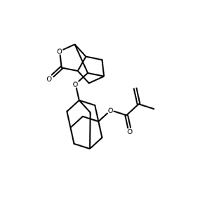 C=C(C)C(=O)OC12CC3CC(C1)CC(OC1C4CC5C(=O)OC1C5C4)(C3)C2